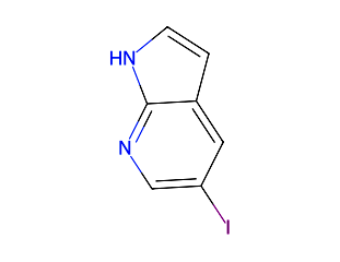 Ic1cnc2[nH]ccc2c1